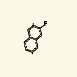 Fc1[c]cc2cc[c]cc2c1